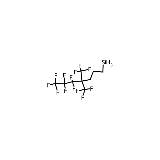 FC(F)(F)C(F)(F)C(F)(F)C(CCC[SiH3])(C(F)(F)F)C(F)(F)F